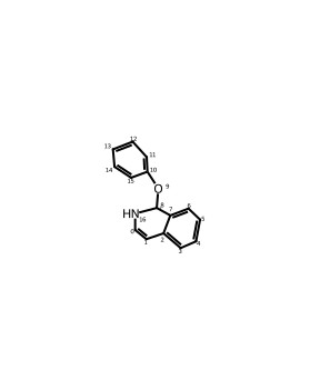 C1=Cc2ccccc2[C](Oc2ccccc2)N1